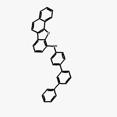 c1ccc(-c2cccc(-c3ccc(Nc4cccc5c4oc4c6ccccc6ccc54)cc3)c2)cc1